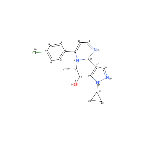 C[C@@H](CO)N1C(c2ccc(Cl)cc2)=CC=NC1c1cnn(C2CC2)c1